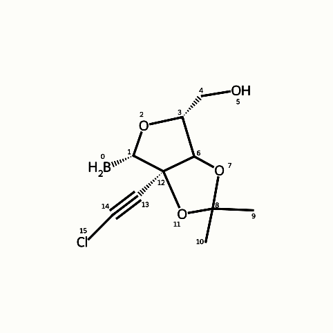 B[C@@H]1O[C@H](CO)C2OC(C)(C)O[C@]21C#CCl